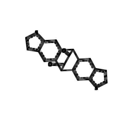 O=C1C(=O)C2c3cc4ccsc4cc3C1c1cc3ccsc3cc12